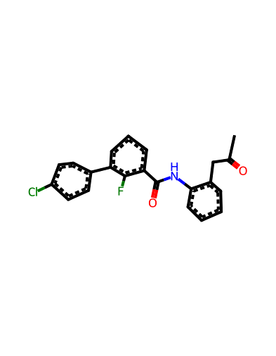 CC(=O)Cc1ccccc1NC(=O)c1cccc(-c2ccc(Cl)cc2)c1F